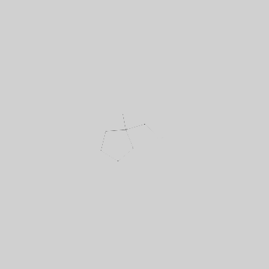 CC(C)C1(CO)CCCC1